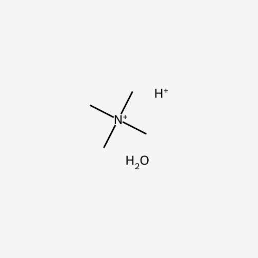 C[N+](C)(C)C.O.[H+]